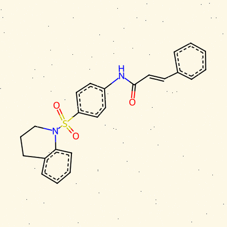 O=C(C=Cc1ccccc1)Nc1ccc(S(=O)(=O)N2CCCc3ccccc32)cc1